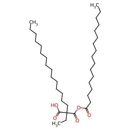 CCCCCCCCCCCCCCCCC(=O)OC(=O)C(CC)(CCCCCCCCCCCCCCC)C(=O)O